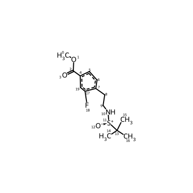 COC(=O)c1ccc(CCN[S@+]([O-])C(C)(C)C)c(F)c1